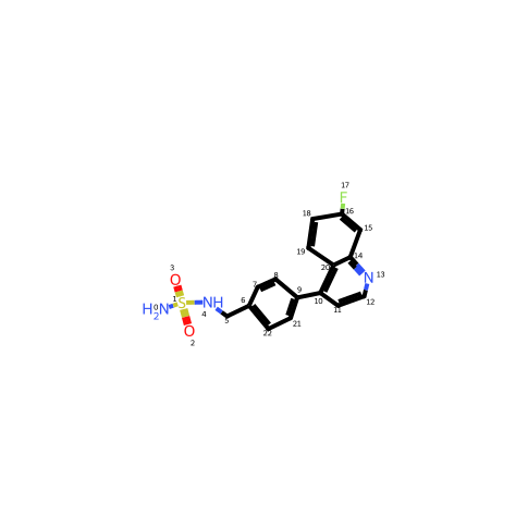 NS(=O)(=O)NCc1ccc(-c2ccnc3cc(F)ccc23)cc1